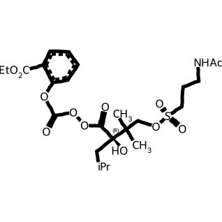 CCOC(=O)c1ccccc1OC(=O)OOC(=O)[C@@](O)(CC(C)C)C(C)(C)COS(=O)(=O)CCCNC(C)=O